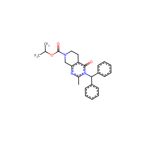 Cc1nc2c(c(=O)n1C(c1ccccc1)c1ccccc1)CCN(C(=O)OC(C(F)(F)F)C(F)(F)F)C2